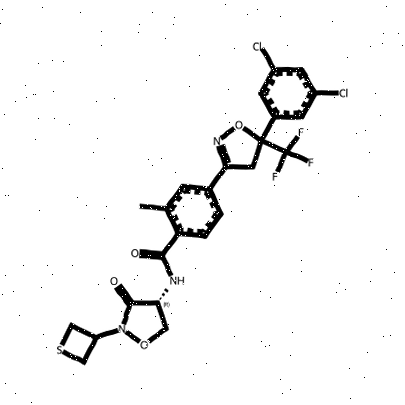 Cc1cc(C2=NOC(c3cc(Cl)cc(Cl)c3)(C(F)(F)F)C2)ccc1C(=O)N[C@@H]1CON(C2CSC2)C1=O